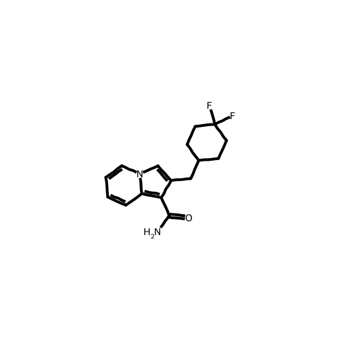 NC(=O)c1c(CC2CCC(F)(F)CC2)cn2ccccc12